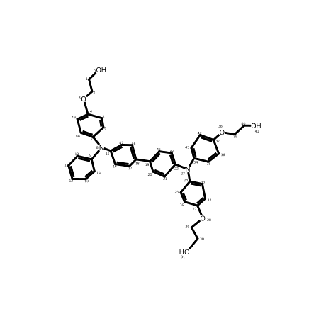 OCCOc1ccc(N(c2ccccc2)c2ccc(-c3ccc(N(c4ccc(OCCO)cc4)c4ccc(OCCO)cc4)cc3)cc2)cc1